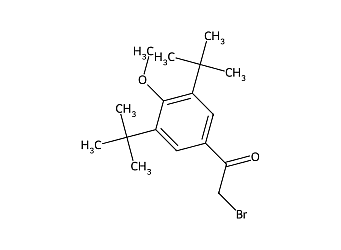 COc1c(C(C)(C)C)cc(C(=O)CBr)cc1C(C)(C)C